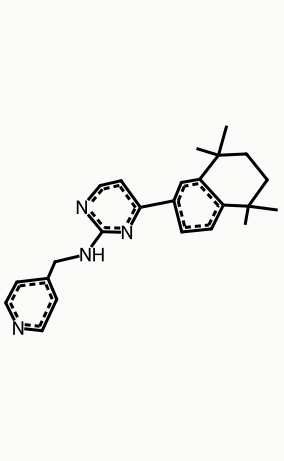 CC1(C)CCC(C)(C)c2cc(-c3ccnc(NCc4ccncc4)n3)ccc21